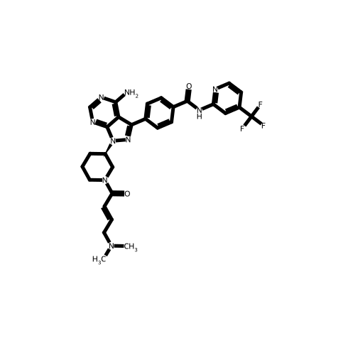 CN(C)C/C=C/C(=O)N1CCC[C@@H](n2nc(-c3ccc(C(=O)Nc4cc(C(F)(F)F)ccn4)cc3)c3c(N)ncnc32)C1